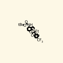 CCC(C(=O)OC)(c1ccc(C(F)(F)F)cc1)n1ccc2c(NC(=O)OC(C)(C)C)cccc21